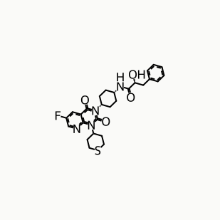 O=C(N[C@H]1CC[C@@H](n2c(=O)c3cc(F)cnc3n(C3CCSCC3)c2=O)CC1)[C@@H](O)Cc1ccccc1